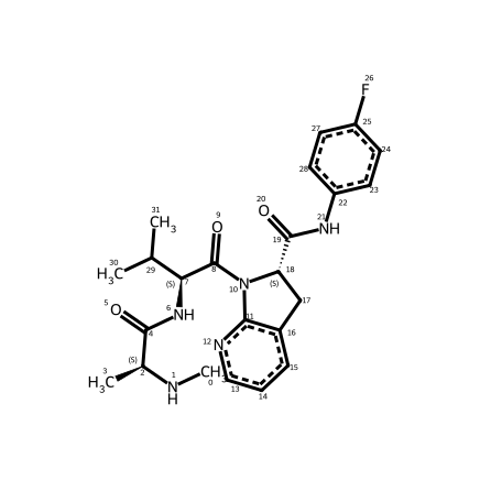 CN[C@@H](C)C(=O)N[C@H](C(=O)N1c2ncccc2C[C@H]1C(=O)Nc1ccc(F)cc1)C(C)C